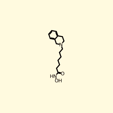 O=C(CCCCCCN1CCc2ccccc2C1)NO